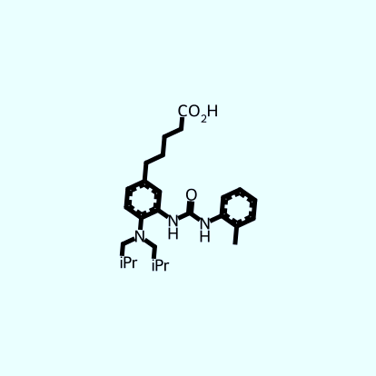 Cc1ccccc1NC(=O)Nc1cc(CCCCC(=O)O)ccc1N(CC(C)C)CC(C)C